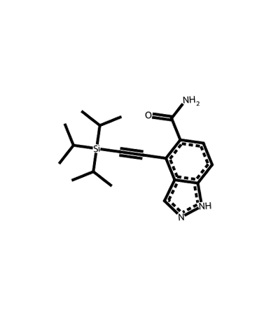 CC(C)[Si](C#Cc1c(C(N)=O)ccc2[nH]ncc12)(C(C)C)C(C)C